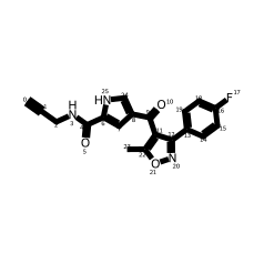 C#CCNC(=O)c1cc(C(=O)c2c(-c3ccc(F)cc3)noc2C)c[nH]1